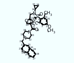 COc1cc(C)c(S(=O)(=O)N(Cc2nc(C(=O)N3CCN(Cc4cnc5ccccc5c4)CC3)co2)C2CC2)c(C)c1